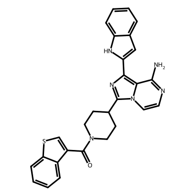 Nc1nccn2c(C3CCN(C(=O)c4csc5ccccc45)CC3)nc(-c3cc4ccccc4[nH]3)c12